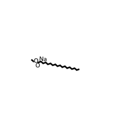 CCCCCCCCCCCCCCCC[CH]([Na])C(=O)OCC